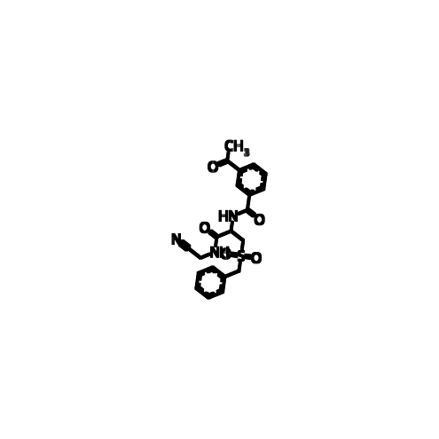 CC(=O)c1cccc(C(=O)NC(CS(=O)(=O)Cc2ccccc2)C(=O)NCC#N)c1